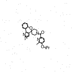 Cc1nc(C(=O)N2CCC3(CC2)Oc2ccccc2-c2nn(C)cc23)ccc1OC(C)C